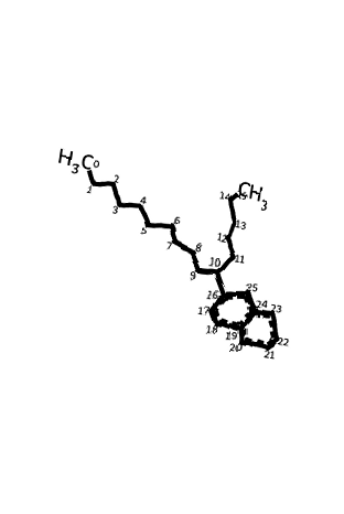 CCCCCCCCCCC(CCCCC)c1ccc2ccccc2c1